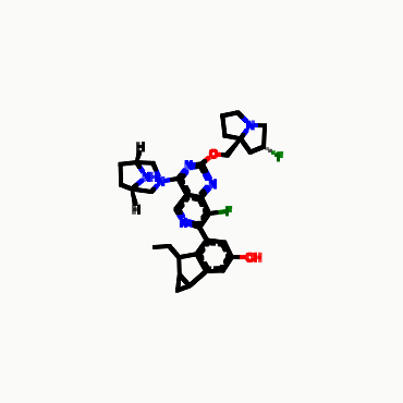 CCC1c2c(-c3ncc4c(N5C[C@H]6CC[C@@H](C5)N6)nc(OC[C@@]56CCCN5C[C@H](F)C6)nc4c3F)cc(O)cc2C2CC21